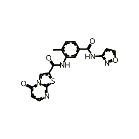 Cc1ccc(C(=O)Nc2ccon2)cc1NC(=O)c1cn2c(=O)ccnc2s1